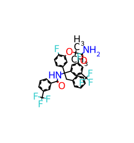 CC(C)(Oc1cc(C(Cc2ccccc2)(NC(=O)c2cccc(C(F)(F)F)c2)c2cc(F)cc(C(F)(F)F)c2)ccc1F)C(N)=O